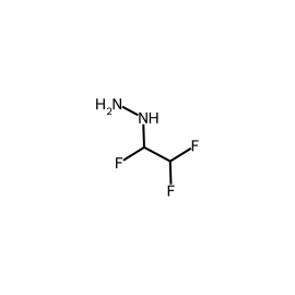 NNC(F)C(F)F